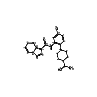 CC(O)C1CCN(c2ccc(Cl)cc2NC(=O)c2cnn3cccnc23)CC1